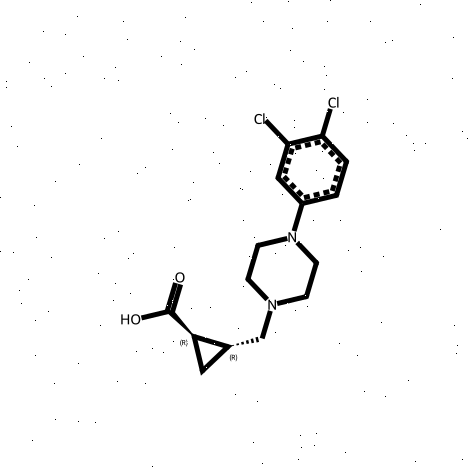 O=C(O)[C@@H]1C[C@H]1CN1CCN(c2ccc(Cl)c(Cl)c2)CC1